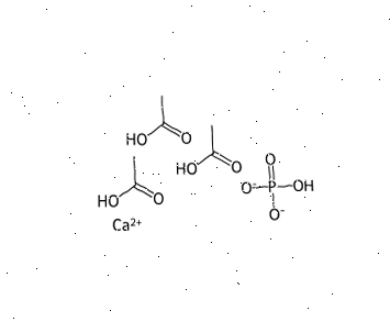 CC(=O)O.CC(=O)O.CC(=O)O.O=P([O-])([O-])O.[Ca+2]